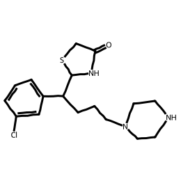 O=C1CSC(C(CCCN2CCNCC2)c2cccc(Cl)c2)N1